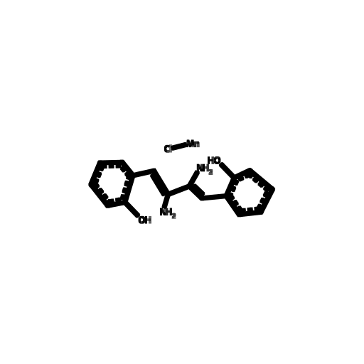 NC(=Cc1ccccc1O)C(N)=Cc1ccccc1O.[Cl][Mn]